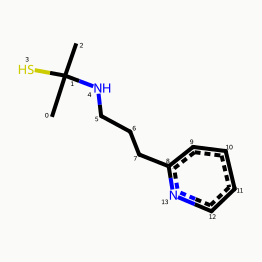 CC(C)(S)NCCCc1ccccn1